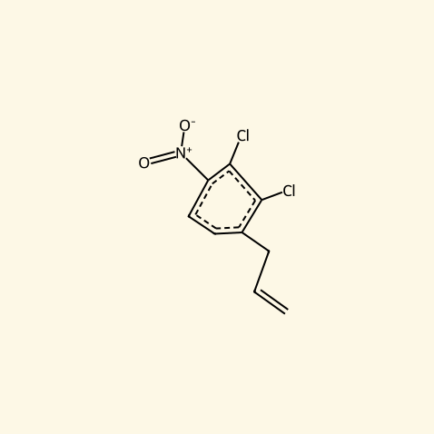 C=CCc1ccc([N+](=O)[O-])c(Cl)c1Cl